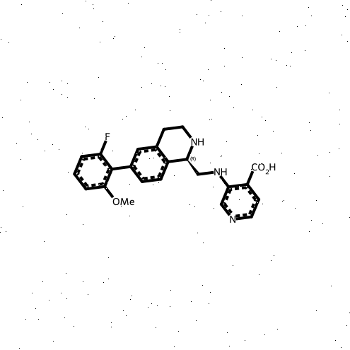 COc1cccc(F)c1-c1ccc2c(c1)CCN[C@H]2CNc1cnccc1C(=O)O